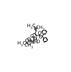 CN(C)/C=C/C1=C(C(=O)OC(c2ccccc2)c2ccccc2)N2C(=O)C(NC(=O)OC(C)(C)C)C2OC1